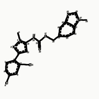 Cn1nc(-c2ccc(Cl)cc2Cl)cc1NC(=O)OCc1ccc2c(c1)ncn2C